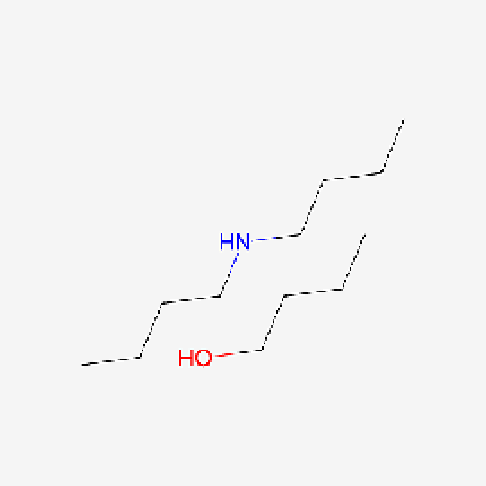 CCCCNCCCC.CCCCO